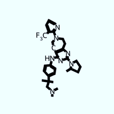 CC1CCCN1c1nc2c(c(Nc3ccc(C(C)(C)CN(C)C)cc3)n1)CCN(c1ncccc1C(F)(F)F)CC2